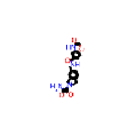 Nc1c(N2CCc3ccc(CNC(=O)c4ccc5c(c4)NC(=O)CO5)cc3C2)c(=O)c1=O